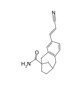 N#CC=Cc1ccc2c(c1)CC1(C(N)=O)[CH]C(CC1)C2